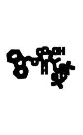 C[C@@H](CP(=O)(OC(C)(C)C)OC(C)(C)C)[C@H](NC(=O)OCC1c2ccccc2-c2ccccc21)C(=O)O